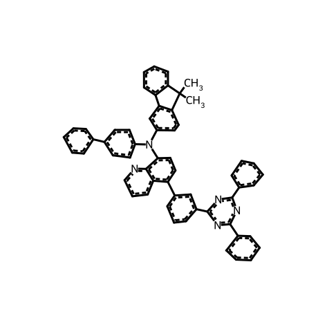 CC1(C)c2ccccc2-c2cc(N(c3ccc(-c4ccccc4)cc3)c3ccc(-c4cccc(-c5nc(-c6ccccc6)nc(-c6ccccc6)n5)c4)c4cccnc34)ccc21